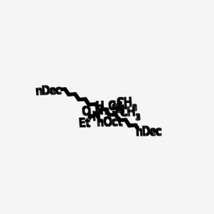 CCCCCCCCCCCCCCCCCN(CC[CH](CCCCCCCCCCCCCC)[Sn]([CH3])([CH3])[CH3])N(CCCCCCCC)C(=O)CC